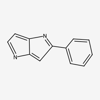 C1=NC2=CC(c3ccccc3)=NC2=C1